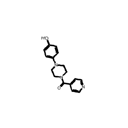 O=C(c1ccncc1)N1CCN(c2ccc(O)cc2)CC1